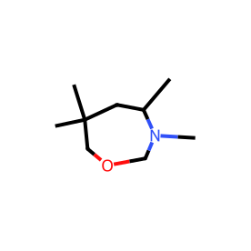 CC1CC(C)(C)COCN1C